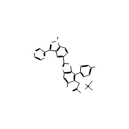 CC(=O)[C@@H](OC(C)(C)C)c1c(C)cc2nc(-c3ccc4c(c3)c(-c3cnccn3)nn4C)sc2c1-c1ccc(Cl)cc1